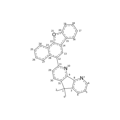 CC1(C)c2cccnc2-c2nc(-c3cc4c5ccccc5oc4c4ccccc34)ccc21